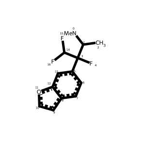 CNC(C)C(F)(c1ccc2ccoc2c1)C(F)F